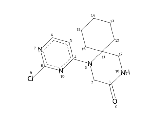 O=C1CN(c2ccnc(Cl)n2)C2(CCCCC2)CN1